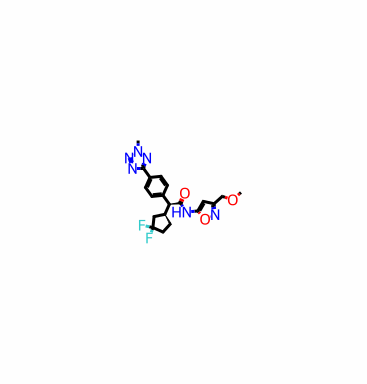 COCc1cc(NC(=O)[C@H](c2ccc(-c3nnn(C)n3)cc2)[C@H]2CCC(F)(F)C2)on1